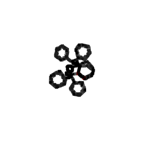 c1ccc([Si](O[Si](c2ccccc2)(c2ccccc2)C2CCCCC2)(c2ccccc2)C2CCCCC2)cc1